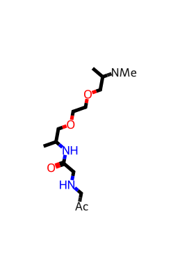 CNC(C)COCCOCC(C)NC(=O)CNCC(C)=O